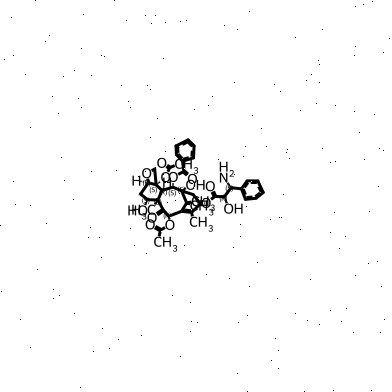 CC(=O)O[C@H]1C(=O)[C@@]2(C)[C@H]([C@H](OC(=O)c3ccccc3)[C@]3(O)C[C@H](OC(=O)[C@H](O)[C@@H](N)c4ccccc4)C(C)=C1C3(C)C)[C@]1(OC(C)=O)CO[C@@H]1C[C@@H]2O